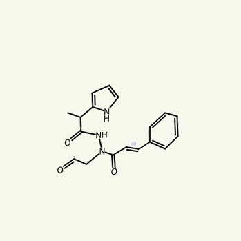 CC(C(=O)NN(C[C]=O)C(=O)/C=C/c1ccccc1)c1ccc[nH]1